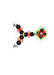 CC(=O)c1ccc(S(=O)(=O)c2ccc([S+](c3ccc(S(=O)(=O)c4ccc(C(C)=O)cc4)cc3)c3ccc(S(=O)(=O)c4ccc(C(C)=O)cc4)cc3)cc2)cc1.Fc1c(F)c(F)c([B-](c2c(F)c(F)c(F)c(F)c2F)(c2c(F)c(F)c(F)c(F)c2F)c2c(F)c(F)c(F)c(F)c2F)c(F)c1F